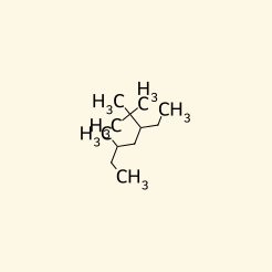 CCC(C)CC(CC)C(C)(C)C